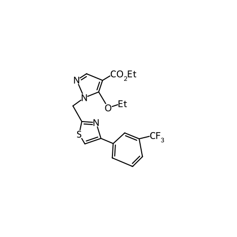 CCOC(=O)c1cnn(Cc2nc(-c3cccc(C(F)(F)F)c3)cs2)c1OCC